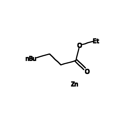 CCCCCCC(=O)OCC.[Zn]